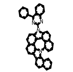 c1ccc(-c2nc(-n3c4ccc5cccc6c5c4c4c5c(ccc7c8ccc9ccccc9c8n6c75)ccc43)nc3ccccc23)cc1